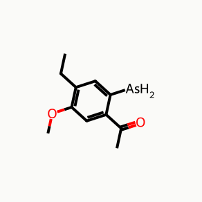 CCc1cc([AsH2])c(C(C)=O)cc1OC